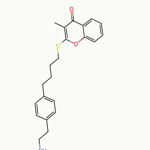 Cc1c(SCCCCc2ccc(CCN)cc2)oc2ccccc2c1=O